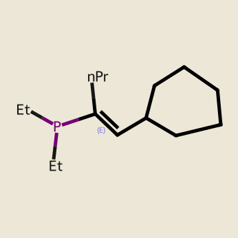 CCC/C(=C\C1CCCCC1)P(CC)CC